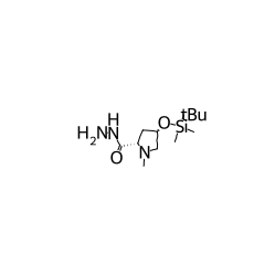 CN1C[C@H](O[Si](C)(C)C(C)(C)C)C[C@H]1C(=O)NN